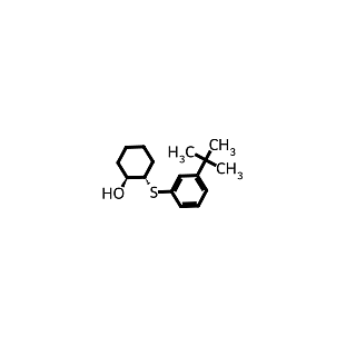 CC(C)(C)c1cccc(S[C@H]2CCCC[C@@H]2O)c1